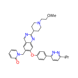 COCCN1CCC(c2ncc3cc(Cn4ccccc4=O)c(Oc4ccc(-c5ccc(C(C)C)nn5)cc4)cc3n2)CC1